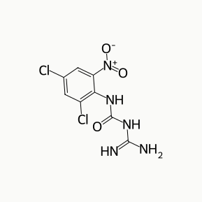 N=C(N)NC(=O)Nc1c(Cl)cc(Cl)cc1[N+](=O)[O-]